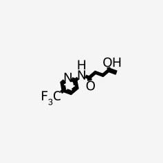 C=C(O)CCC(=O)Nc1ccc(C(F)(F)F)cn1